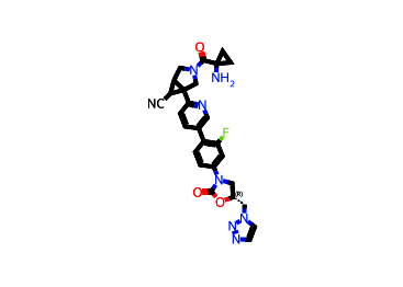 N#CC1C2CN(C(=O)C3(N)CC3)CC12c1ccc(-c2ccc(N3C[C@H](Cn4ccnn4)OC3=O)cc2F)cn1